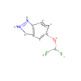 FC(F)Oc1ccc2c(c1)CN=N2